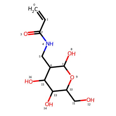 C=CC(=O)NCC1C(O)OC(CO)C(O)C1O